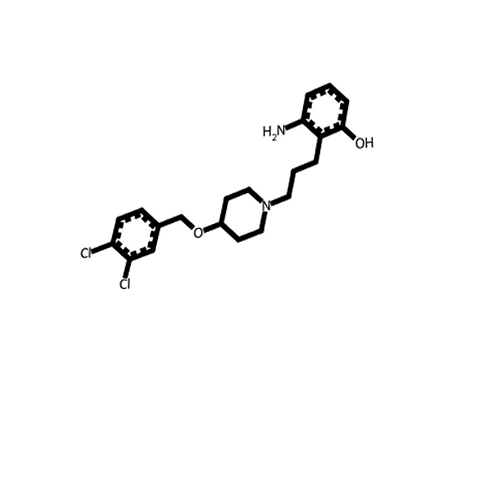 Nc1cccc(O)c1CCCN1CCC(OCc2ccc(Cl)c(Cl)c2)CC1